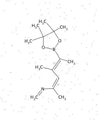 C=N/C(C)=C\C(C)=C(/C)B1OC(C)(C)C(C)(C)O1